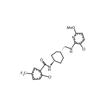 COc1ccc(Cl)c(NC[C@H]2CC[C@H](NC(=O)c3cc(C(F)(F)F)ccc3Cl)CC2)n1